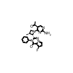 CC(=O)c1cnc(N)nc1N1C[C@H](C)[C@H]1c1nn2ccc(F)c2c(=O)n1-c1ccccc1